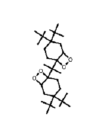 CC(C)(C)C1(C(C)(C)C)CCC2(C(C)(C)C34CCC(C(C)(C)C)(C(C)(C)C)CC3OO4)OOC2C1